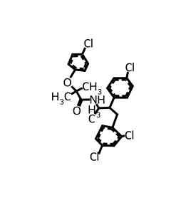 CC(NC(=O)C(C)(C)Oc1ccc(Cl)cc1)C(Cc1ccc(Cl)cc1Cl)c1ccc(Cl)cc1